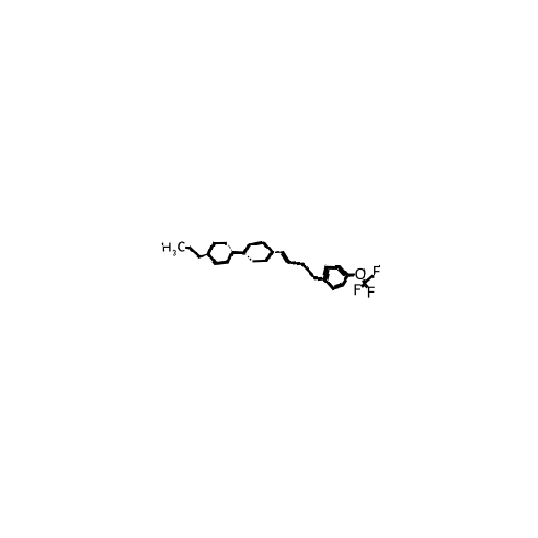 CCC[C@H]1CC[C@H]([C@H]2CC[C@H](C=CCCc3ccc(OC(F)(F)F)cc3)CC2)CC1